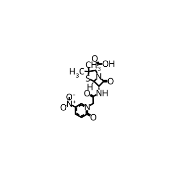 CC1(C)S[C@@H]2[C@H](NC(=O)Cn3cc([N+](=O)[O-])ccc3=O)C(=O)N2[C@H]1C(=O)O